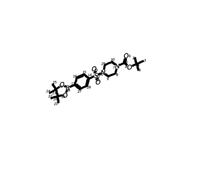 CC(C)(C)OC(=O)N1CCN(S(=O)(=O)c2ccc(B3OC(C)(C)C(C)(C)O3)cc2)CC1